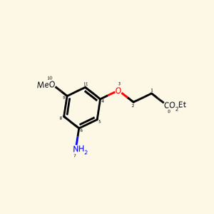 CCOC(=O)CCOc1cc(N)cc(OC)c1